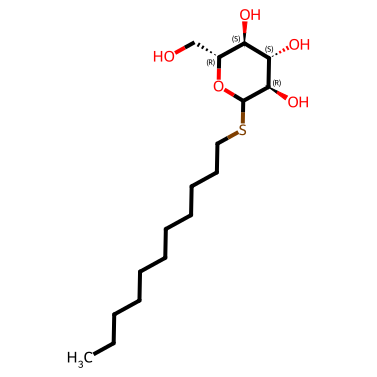 CCCCCCCCCCCSC1O[C@H](CO)[C@@H](O)[C@H](O)[C@H]1O